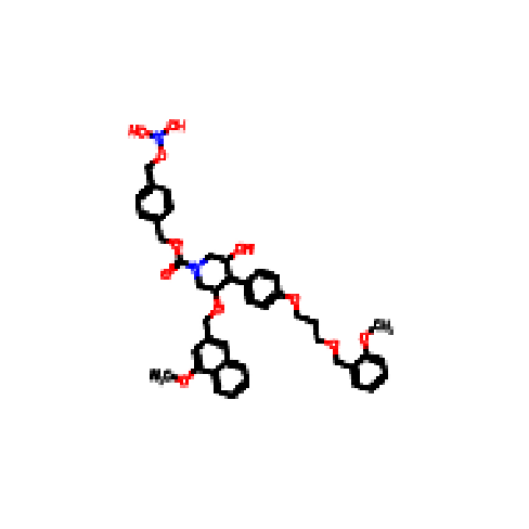 COc1ccccc1COCCCOc1ccc(C2C(O)CN(C(=O)OCc3ccc(CON(O)O)cc3)CC2OCc2cc(OC)c3ccccc3c2)cc1